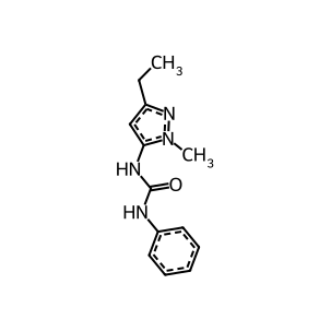 CCc1cc(NC(=O)Nc2ccccc2)n(C)n1